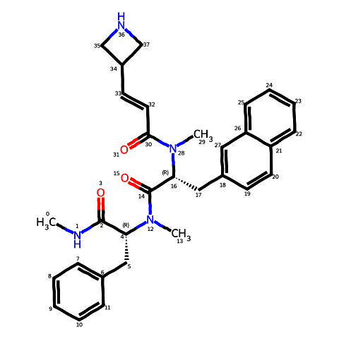 CNC(=O)[C@@H](Cc1ccccc1)N(C)C(=O)[C@@H](Cc1ccc2ccccc2c1)N(C)C(=O)C=CC1CNC1